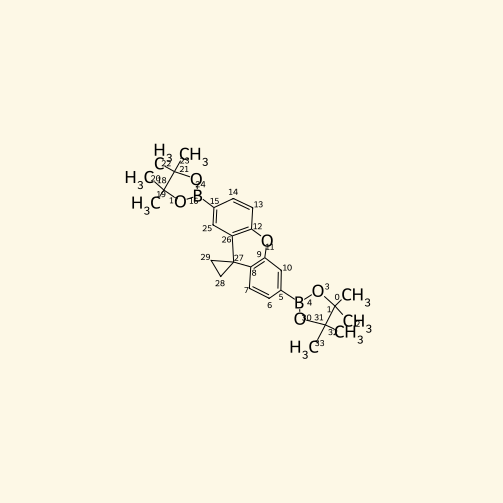 CC1(C)OB(c2ccc3c(c2)Oc2ccc(B4OC(C)(C)C(C)(C)O4)cc2C32CC2)OC1(C)C